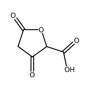 O=C1CC(=O)C(C(=O)O)O1